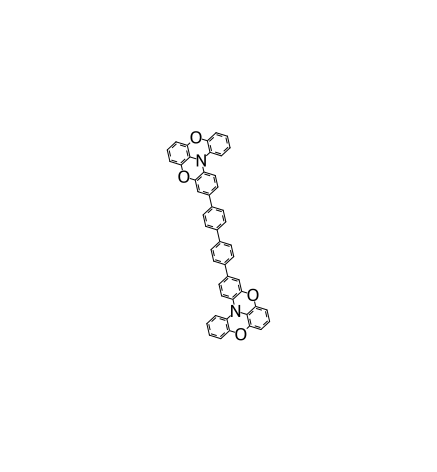 c1ccc2c(c1)Oc1cccc3c1N2c1ccc(-c2ccc(-c4ccc(-c5ccc6c(c5)Oc5cccc7c5N6c5ccccc5O7)cc4)cc2)cc1O3